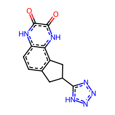 O=c1[nH]c2ccc3c(c2[nH]c1=O)CC(c1nnn[nH]1)C3